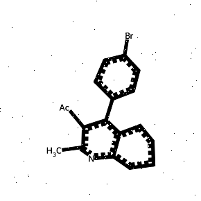 CC(=O)c1c(C)nc2ccccc2c1-c1ccc(Br)cc1